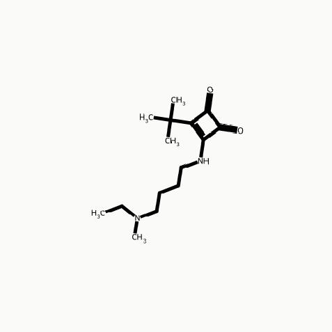 CCN(C)CCCCNc1c(C(C)(C)C)c(=O)c1=O